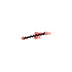 O=[C]CCCCCCCC(O)C(O)CCCCCCO